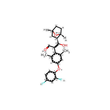 Cc1cc(Oc2ccc(F)cc2F)cc(C)c1/C(C=O)=C(\O)[C@H]1C[C@@H]2CC[C@H]1O2